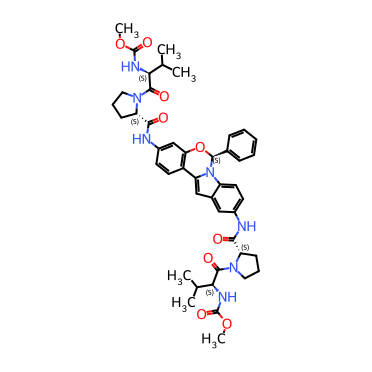 COC(=O)N[C@H](C(=O)N1CCC[C@H]1C(=O)Nc1ccc2c(c1)O[C@@H](c1ccccc1)n1c-2cc2cc(NC(=O)[C@@H]3CCCN3C(=O)[C@@H](NC(=O)OC)C(C)C)ccc21)C(C)C